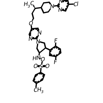 Cc1ccc(S(=O)(=O)ONC2CN(c3ncc(OCC[C@@H](C)C4CCN(c5ncc(Cl)cn5)CC4)cn3)CC2c2cc(F)ccc2F)cc1